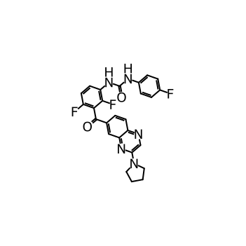 O=C(Nc1ccc(F)cc1)Nc1ccc(F)c(C(=O)c2ccc3ncc(N4CCCC4)nc3c2)c1F